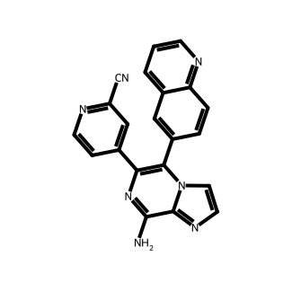 N#Cc1cc(-c2nc(N)c3nccn3c2-c2ccc3ncccc3c2)ccn1